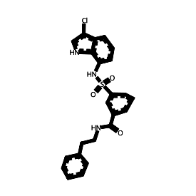 O=C(NCCc1ccccc1)c1cccc(S(=O)(=O)Nc2cccc3c(Cl)c[nH]c23)c1